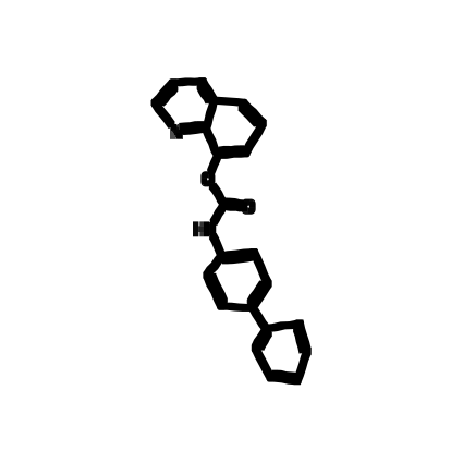 O=C(Nc1ccc(-c2ccccc2)cc1)Oc1cccc2cccnc12